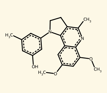 COc1cc(OC)c2nc(C)c3c(c2c1)N(c1cc(C)cc(O)c1)CC3